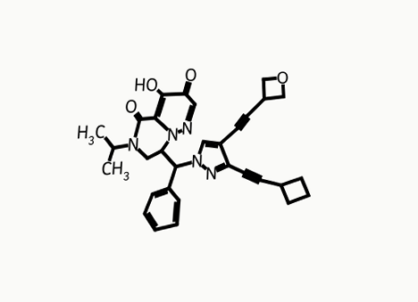 CC(C)N1CC(C(c2ccccc2)n2cc(C#CC3COC3)c(C#CC3CCC3)n2)n2ncc(=O)c(O)c2C1=O